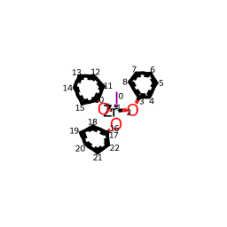 [I][Zr]([O]c1ccccc1)([O]c1ccccc1)[O]c1ccccc1